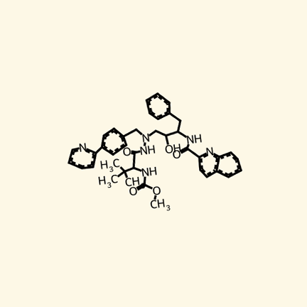 COC(=O)NC(C(=O)NN(Cc1ccc(-c2ccccn2)cc1)CC(O)C(Cc1ccccc1)NC(=O)c1ccc2ccccc2n1)C(C)(C)C